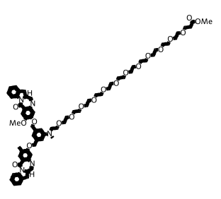 COC(=O)CCOCCOCCOCCOCCOCCOCCOCCOCCOCCOCCOCCOCCN(C)c1cc(COc2cc3c(cc2C)C(=O)N2c4ccccc4C[C@H]2C=N3)cc(COc2cc3c(cc2OC)C(=O)N2c4ccccc4C[C@H]2C=N3)c1